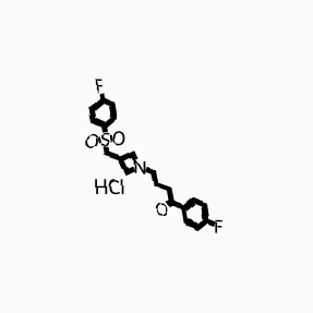 Cl.O=C(CCCN1CC(CS(=O)(=O)c2ccc(F)cc2)C1)c1ccc(F)cc1